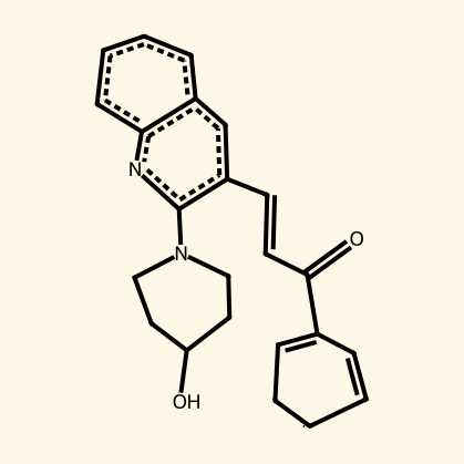 O=C(C=Cc1cc2ccccc2nc1N1CCC(O)CC1)C1=CC[CH]C=C1